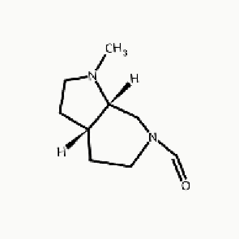 CN1CC[C@H]2CCN(C=O)C[C@H]21